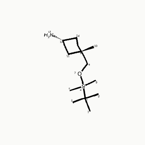 CC(C)(C)[Si](C)(C)OC[C@]1(C)C[C@H](N)C1